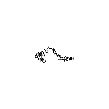 C=Cc1nc(N2CCc3cccc(C(=C)Nc4nc5ccccc5s4)c3C2)ccc1-c1cccc(CC(C)CCC2CCN(CC(=C)N3CCN(c4cc5c(=C)n(C6CCC(=C)NC6=C)c(=C)c5cc4F)CC3)CC2)c1C